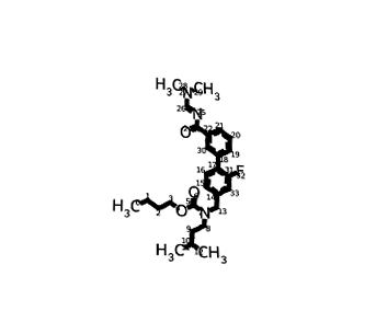 CCCCOC(=O)N(CCC(C)C)Cc1ccc(-c2cccc(C(=O)/N=C/N(C)C)c2)c(F)c1